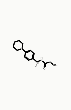 C[C@@H](NC(=O)OC(C)(C)C)c1ccc(N2CCCCC2)cc1